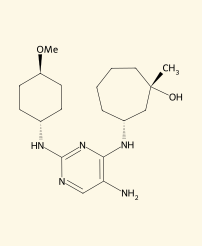 CO[C@H]1CC[C@H](Nc2ncc(N)c(N[C@@H]3CCCC[C@](C)(O)C3)n2)CC1